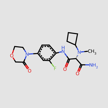 CN(C1CCC1)[C@H](C(N)=O)C(=O)Nc1ccc(N2CCOCC2=O)cc1F